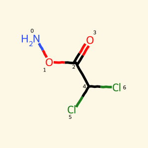 NOC(=O)C(Cl)Cl